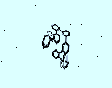 c1cc(-c2ccc3c(c2)c2ccccc2c2nccn32)cc(-c2ccccc2-c2cccc3c2oc2ccccc23)c1